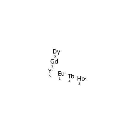 [Dy].[Eu].[Gd].[Ho].[Tb].[Y]